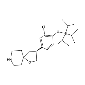 CC(C)[Si](Oc1ccc([C@H]2COC3(CCNCC3)C2)cc1Cl)(C(C)C)C(C)C